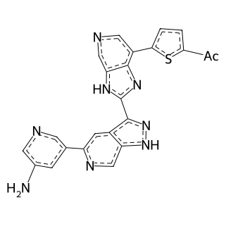 CC(=O)c1ccc(-c2cncc3[nH]c(-c4n[nH]c5cnc(-c6cncc(N)c6)cc45)nc23)s1